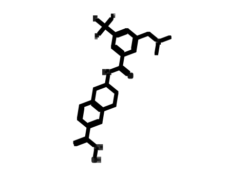 C=C(NO)c1ccc2c(c1)CCC(NC(=O)c1cc(CN(C)C)cc(C(F)(F)F)c1)C2